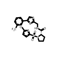 O=C(NCc1nc(-c2cccc(C(F)(F)F)c2)cs1)[C@@H]1CCCN1S(=O)(=O)c1ccc(Cl)s1